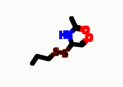 CCCSSC(C=O)NC(C)=O